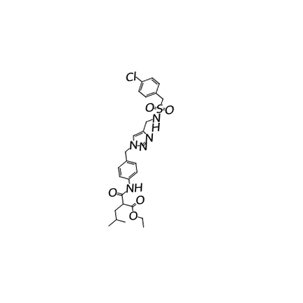 CCOC(=O)C(CC(C)C)C(=O)Nc1ccc(Cn2cc(CNS(=O)(=O)Cc3ccc(Cl)cc3)nn2)cc1